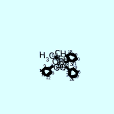 CC(C)(C)O[Si](OCc1ccccc1)(OCc1ccccc1)OCc1ccccc1